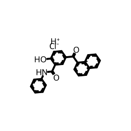 O=C(Nc1ccccc1)c1cc(C(=O)c2cccc3ccccc23)ccc1O.[Cl-].[H+]